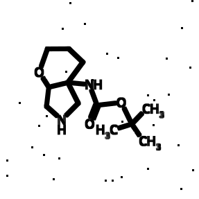 CC(C)(C)OC(=O)NC12CCCOC1CNC2